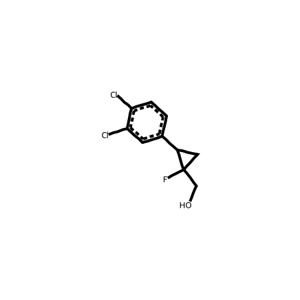 OCC1(F)CC1c1ccc(Cl)c(Cl)c1